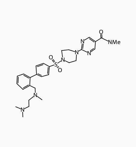 CNC(=O)c1cnc(N2CCN(S(=O)(=O)c3ccc(-c4ccccc4CN(C)CCN(C)C)cc3)CC2)nc1